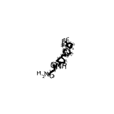 NC(=O)CCC(=O)NC1CCC(CCN2CCN(c3cccc(C(F)(F)F)c3F)CC2)CC1